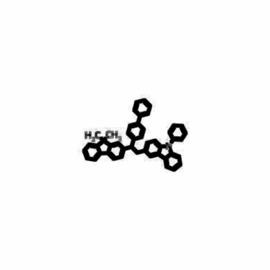 CC1(C)c2ccccc2-c2ccc(C(Cc3ccc4c(c3)c3ccccc3n4-c3ccccc3)c3ccc(-c4ccccc4)cc3)cc21